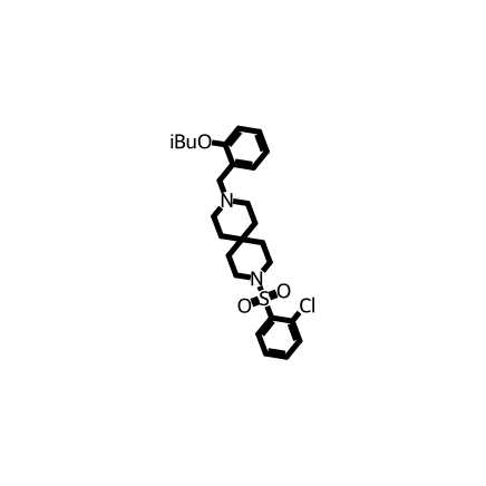 CC(C)COc1ccccc1CN1CCC2(CC1)CCN(S(=O)(=O)c1ccccc1Cl)CC2